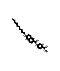 CCCCCCCCCCOc1ccc2cc(C(=O)Oc3ccc(C(=O)OC)cc3)ccc2c1